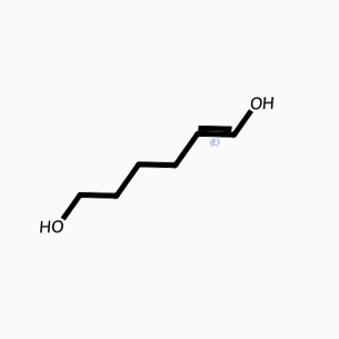 O/C=C/CCCCO